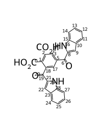 O=C(O)c1cc(C(=O)O)c(C(=O)c2cc3ccccc3[nH]2)cc1C(=O)c1cc2ccccc2[nH]1